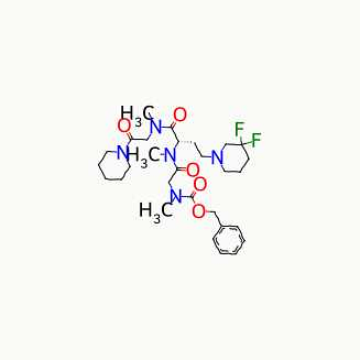 CN(CC(=O)N(C)[C@@H](CCN1CCCC(F)(F)C1)C(=O)N(C)CC(=O)N1CCCCC1)C(=O)OCc1ccccc1